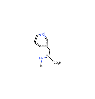 CCN[C@@H](Cc1cccnc1)C(=O)O